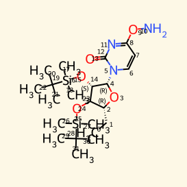 CC[C@H]1O[C@@H](n2ccc(ON)nc2=O)[C@@H](O[Si](C)(C)C(C)(C)C)C1O[Si](C)(C)C(C)(C)C